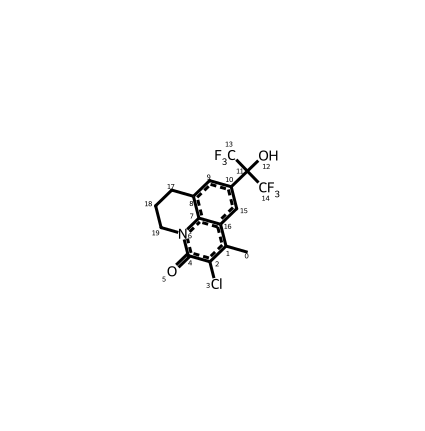 Cc1c(Cl)c(=O)n2c3c(cc(C(O)(C(F)(F)F)C(F)(F)F)cc13)CCC2